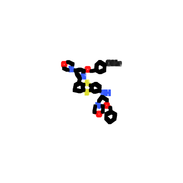 COc1ccc(COc2cc(N3CCOCC3)cc(-c3cccc4c3Sc3ccc(NC(COCc5ccccc5)CN5CCOCC5)cc3S4)n2)cc1